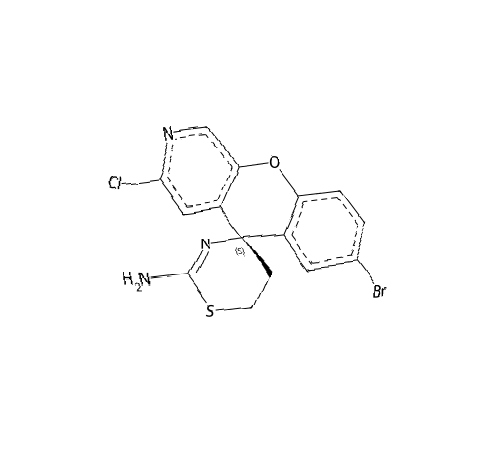 NC1=N[C@@]2(CCS1)c1cc(Br)ccc1Oc1cnc(Cl)cc12